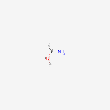 CO[C](C)N